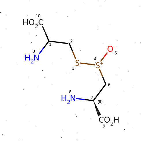 NC(CS[S+]([O-])C[C@H](N)C(=O)O)C(=O)O